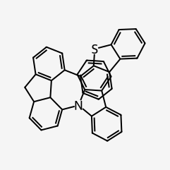 C1=CC2Cc3cccc(-c4cccc5c4sc4ccccc45)c3C2C(n2c3ccccc3c3ccccc32)=C1